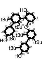 CC(C)(C)c1cc(-c2c(C(C)(C)C)ccc(Oc3cccc(O)c3-c3ccc(C(C)(C)C)c(-c4ccc(O)c(C(C)(C)C)c4)c3C(C)(C)C)c2C(C)(C)C)ccc1O